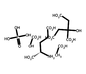 CC(=O)O.N[C@@H](CCC(=O)O)C(=O)O.O=C(O)CC(O)(CC(=O)O)C(=O)O.O=C(O)O.O=P(O)(O)O